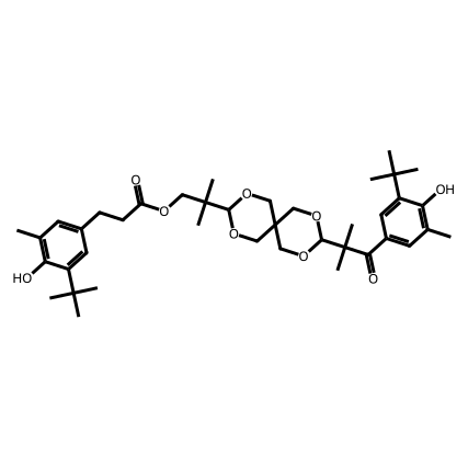 Cc1cc(CCC(=O)OCC(C)(C)C2OCC3(CO2)COC(C(C)(C)C(=O)c2cc(C)c(O)c(C(C)(C)C)c2)OC3)cc(C(C)(C)C)c1O